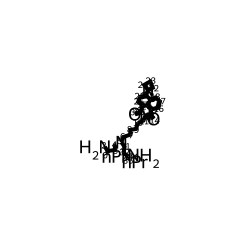 CCCC(N)CCN(CCCCCCN1C(=O)c2cccc3c(N4CCC4)ccc(c23)C1=O)CCC(N)CCC